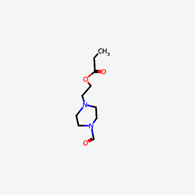 CCC(=O)OCCN1CCN(C=O)CC1